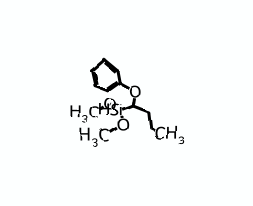 CCCC(Oc1ccccc1)[SiH](OC)OC